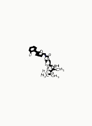 CC(NC(=O)CN1C(=O)/C(=C/c2ccc(-c3ccccc3Cl)o2)SC1=S)C(=O)OC(C)(C)C